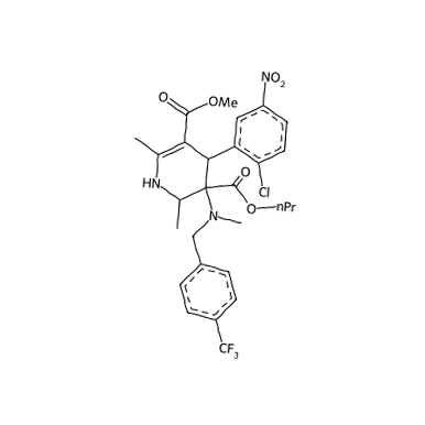 CCCOC(=O)C1(N(C)Cc2ccc(C(F)(F)F)cc2)C(C)NC(C)=C(C(=O)OC)C1c1cc([N+](=O)[O-])ccc1Cl